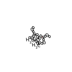 C=CC(=O)OCCCOC1(OCCCOC(=O)C=C)c2cc(N(c3ccc(Oc4ccccc4)cc3)c3ccc(Oc4ccccc4)cc3)ccc2-c2ccc(N(c3ccc(Oc4ccccc4)cc3)c3ccc(Oc4ccccc4)cc3)cc21